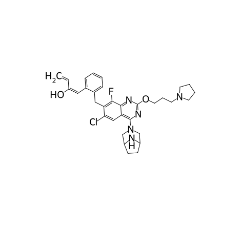 C=C/C(O)=C\c1ccccc1Cc1c(Cl)cc2c(N3CC4CCC(C3)N4)nc(OCCCN3CCCC3)nc2c1F